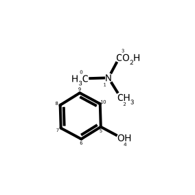 CN(C)C(=O)O.Oc1ccccc1